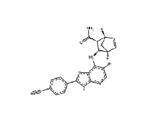 N#Cc1ccc(-c2nc3c(N[C@H]4[C@@H](C(N)=O)[C@@H]5C=C[C@H]4C5)c(Br)cnc3[nH]2)cc1